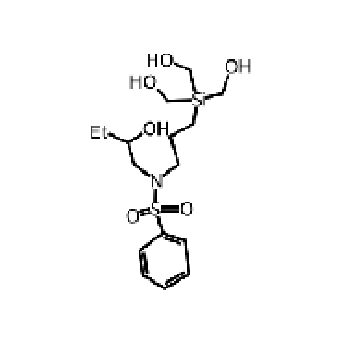 CCC(O)CN(CCC[Si](CO)(CO)CO)S(=O)(=O)c1ccccc1